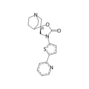 O=C1O[C@]2(CN3CCC2CC3)CN1c1ccc(-c2ccccn2)s1